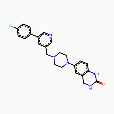 O=C1NCc2cc(N3CCN(Cc4cncc(-c5ccc(F)cc5)c4)CC3)ccc2N1